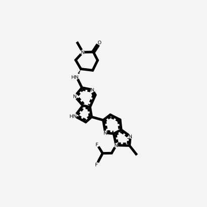 Cc1nc2ccc(-c3c[nH]c4nc(N[C@H]5CCC(=O)N(C)C5)ncc34)nc2n1CC(F)F